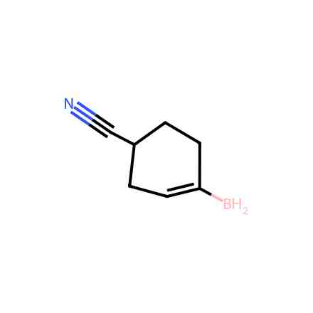 BC1=CCC(C#N)CC1